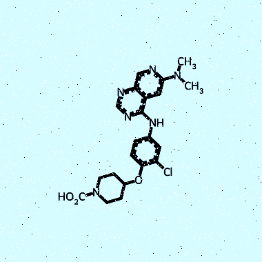 CN(C)c1cc2c(Nc3ccc(OC4CCN(C(=O)O)CC4)c(Cl)c3)ncnc2cn1